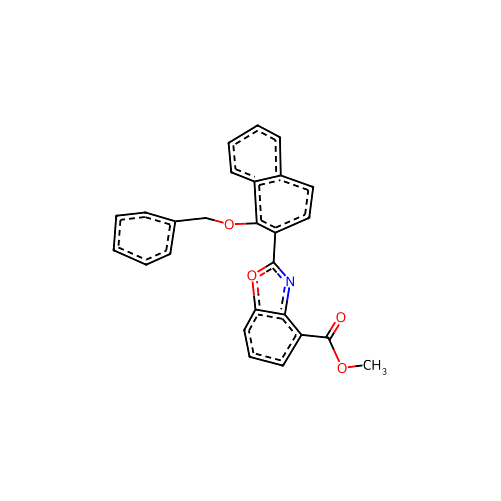 COC(=O)c1cccc2oc(-c3ccc4ccccc4c3OCc3ccccc3)nc12